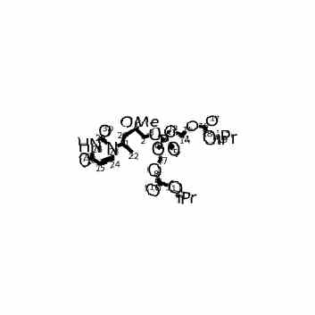 COC(COP(=O)(OCOC(=O)OC(C)C)OCOC(=O)OC(C)C)CC(C)n1ccc(=O)[nH]c1=O